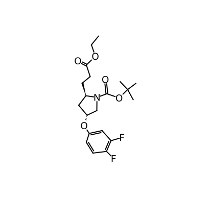 CCOC(=O)CC[C@@H]1C[C@@H](Oc2ccc(F)c(F)c2)CN1C(=O)OC(C)(C)C